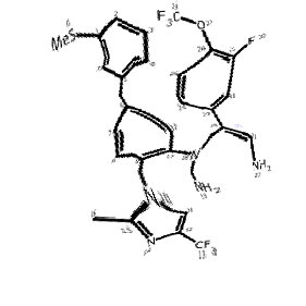 CSc1cccc(-c2ccc(-n3cc(C(F)(F)F)nc3C)c(N(N)/C(=C\N)c3ccc(OC(F)(F)F)c(F)c3)c2)c1